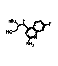 CCCC[C@@H](CO)Nc1nc(N)nc2cc(F)ccc12